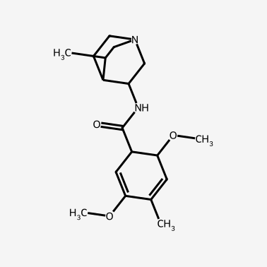 COC1=CC(C(=O)NC2CN3CCC2C(C)C3)C(OC)C=C1C